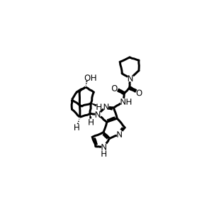 O=C(Nc1nn([C@H]2[C@@H]3CC4C[C@H]2C[C@@](O)(C4)C3)c2c1cnc1[nH]ccc12)C(=O)N1CCCCC1